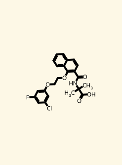 CC(C)(NC(=O)c1ccc2ccccc2c1OCCOc1cc(F)cc(Cl)c1)C(=O)O